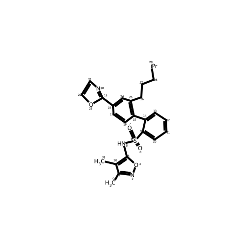 Cc1noc(NS(=O)(=O)c2ccccc2-c2ccc(-c3ncco3)cc2CCCC(C)C)c1C